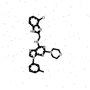 Cc1cccc(-n2cnc3c(NCc4nc5c(Cl)cccc5[nH]4)nc(N4CCOCC4)nc32)c1